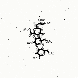 COC(=O)[C@@]1(OC2C(OC(C)=O)[C@H](OC3C(C)[C@@H](OC)OC(COC(C)=O)[C@@H]3C)OC(COC(C)=O)[C@@H]2C)CC(C)[C@@H](C)C([C@H](C)[C@@H](COC(C)=O)OC(C)=O)O1